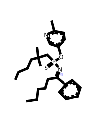 CCCCC/C(=N\P(=S)(CC(C)(C)CCCC)Oc1ccc(C)nc1)c1ccccc1